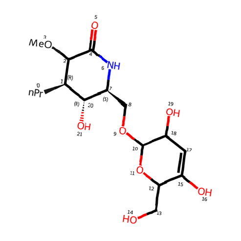 CCC[C@H]1C(OC)C(=O)N[C@@H](COC2OC(CO)C(O)=CC2O)[C@@H]1O